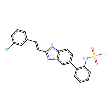 O=S(=O)(Nc1ccccc1-c1ccc2[nH]c(C=Cc3cccc(Cl)c3)nc2c1)C(F)(F)F